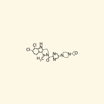 C[C@@H]1c2c([nH]c3c(Cl)c(Cl)ccc23)CCN1C(=O)c1ncc(N2CCN(C3COC3)CC2)cn1